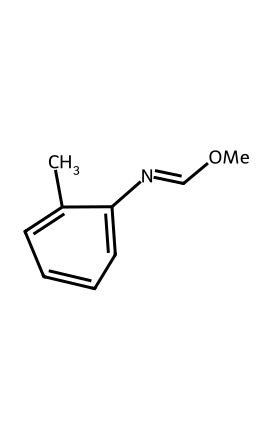 COC=Nc1ccccc1C